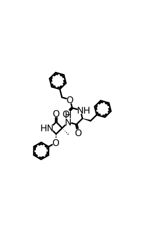 C[C@@]1(NC(=O)[C@H](Cc2ccccc2)NC(=O)OCc2ccccc2)C(=O)N[C@H]1Oc1ccccc1